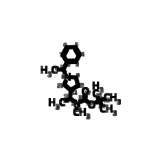 CC(c1ccccc1)N1CCC(C(C)N(C)C(=O)OC(C)(C)C)C1